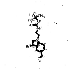 CC(C)(C)OC(=O)NCCn1cc(Br)c2cc(C=O)ccc21